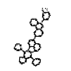 N#Cc1cccc(-c2cc3ccc(-c4ccc5c6c(cccc46)-c4c-5c(-c5ccccc5)c5ccccc5c4-c4ccccc4)cc3c3ccccc23)c1